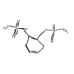 CS(=O)(=O)OC1CC=CCC1OS(C)(=O)=O